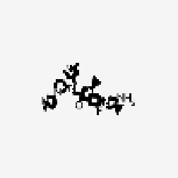 Cc1ccc(N2CCCC(N(Cc3ccnc(C)c3)Cc3cn(C4CC4)c4cc(N5CC(N)C6(CC6)C5)c(F)cc4c3=O)C2)cn1